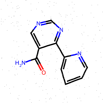 NC(=O)c1cn[c]nc1-c1ccccn1